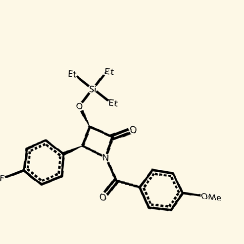 CC[Si](CC)(CC)O[C@H]1C(=O)N(C(=O)c2ccc(OC)cc2)[C@H]1c1ccc(F)cc1